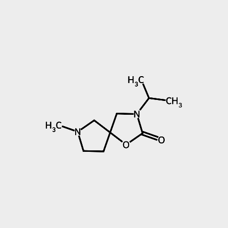 CC(C)N1CC2(CCN(C)C2)OC1=O